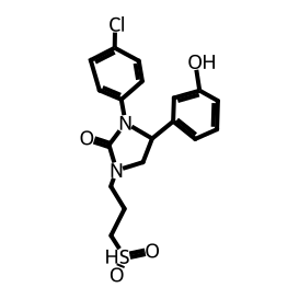 O=C1N(CCC[SH](=O)=O)CC(c2cccc(O)c2)N1c1ccc(Cl)cc1